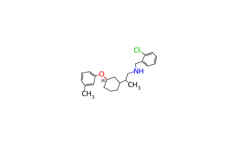 Cc1cccc(O[C@@H]2CCCC(C(C)CNCc3ccccc3Cl)C2)c1